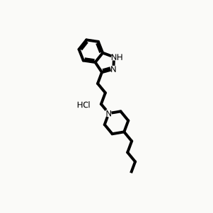 CCCCC1CCN(CCCc2n[nH]c3ccccc23)CC1.Cl